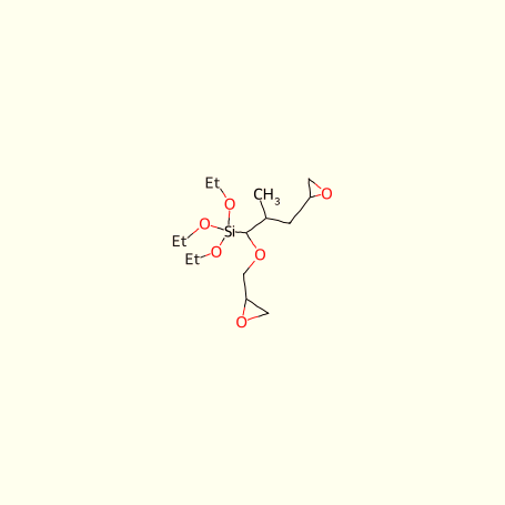 CCO[Si](OCC)(OCC)C(OCC1CO1)C(C)CC1CO1